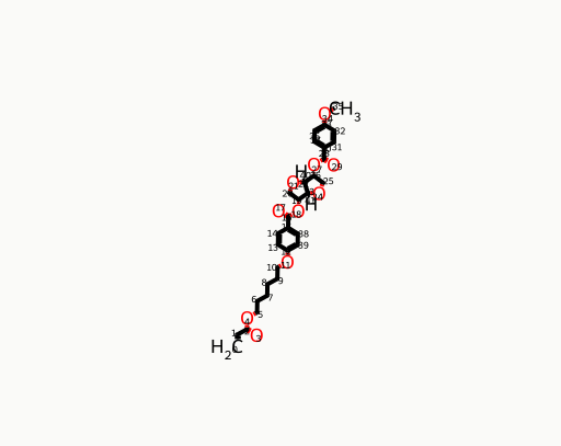 C=CC(=O)OCCCCCCOc1ccc(C(=O)O[C@H]2CO[C@H]3[C@@H]2OC[C@H]3OC(=O)c2ccc(OC)cc2)cc1